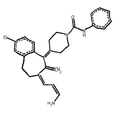 C=C1C(=C2CCN(C(=O)Nc3ccccc3)CC2)c2ccc(Cl)cc2CC/C1=C/C=C\N